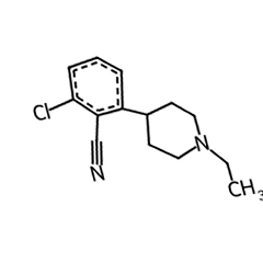 CCN1CCC(c2cccc(Cl)c2C#N)CC1